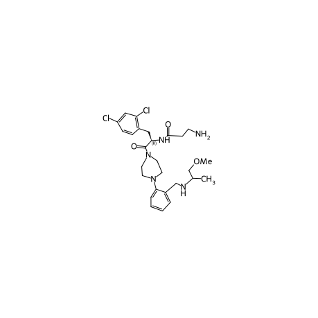 COCC(C)NCc1ccccc1N1CCN(C(=O)[C@@H](Cc2ccc(Cl)cc2Cl)NC(=O)CCN)CC1